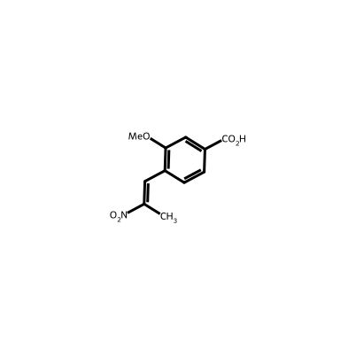 COc1cc(C(=O)O)ccc1C=C(C)[N+](=O)[O-]